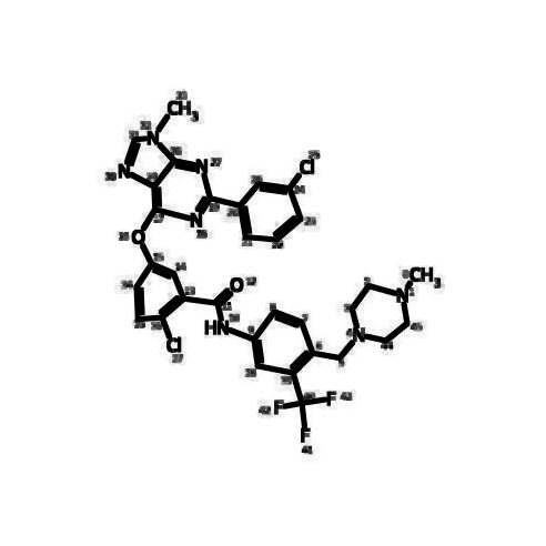 CN1CCN(Cc2ccc(NC(=O)c3cc(Oc4nc(-c5cccc(Cl)c5)nc5c4ncn5C)ccc3Cl)cc2C(F)(F)F)CC1